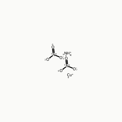 O=[N+]([O-])[O-].O=[N+]([O-])[O-].[Cu+].[NH4+]